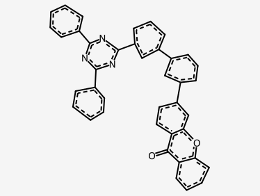 O=c1c2ccccc2oc2cc(-c3cccc(-c4cccc(-c5nc(-c6ccccc6)nc(-c6ccccc6)n5)c4)c3)ccc12